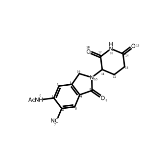 CC(=O)Nc1cc2c(cc1C#N)C(=O)N(C1CCC(=O)NC1=O)C2